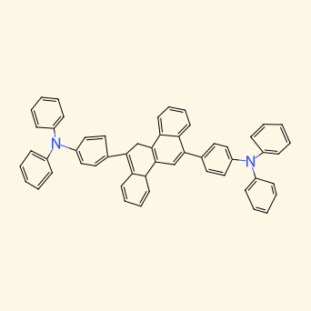 C1=CC2=C(c3ccc(N(c4ccccc4)c4ccccc4)cc3)Cc3c(cc(-c4ccc(N(c5ccccc5)c5ccccc5)cc4)c4ccccc34)C2C=C1